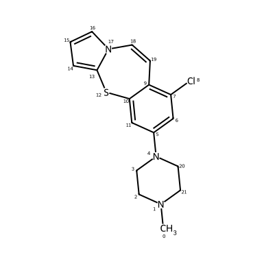 CN1CCN(c2cc(Cl)c3c(c2)Sc2cccn2C=C3)CC1